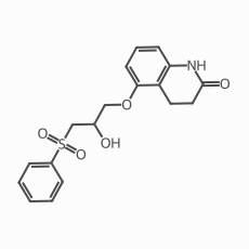 O=C1CCc2c(cccc2OCC(O)CS(=O)(=O)c2ccccc2)N1